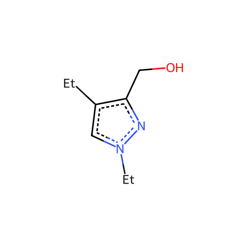 CCc1cn(CC)nc1CO